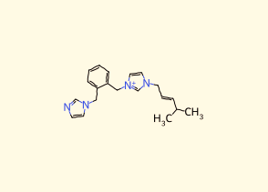 CC(C)/C=C/Cn1cc[n+](Cc2ccccc2Cn2ccnc2)c1